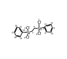 Cl[Si](Cl)(CC[Si](Cl)(Cl)c1ccccc1)c1ccccc1